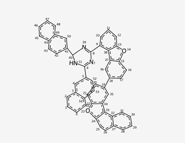 c1ccc2cc(C3=NC(c4cccc5oc6ccc(-c7ccc8oc9ccc%10ccccc%10c9c8c7)cc6c45)=NC(c4ccc5ccccc5c4)N3)ccc2c1